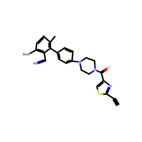 C#Cc1nc(C(=O)N2CCN(c3ccc(-c4c(C)ccc(NC)c4C=N)cc3)CC2)cs1